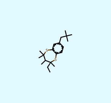 CCC1(C)Sc2ccc(CC(C)(C)C)cc2SC(C)(C)C1C